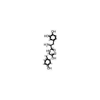 NC(Cc1ccc(O)c(O)c1)C(=O)N[C@@H](Cc1ccc(O)cc1)C(=O)O